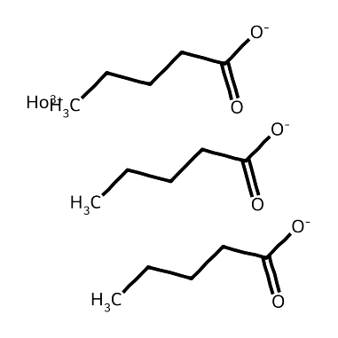 CCCCC(=O)[O-].CCCCC(=O)[O-].CCCCC(=O)[O-].[Ho+3]